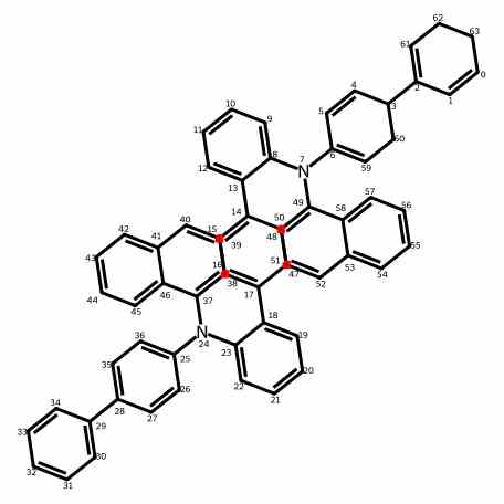 C1=CC(C2C=CC(N(c3ccccc3C3=CC=C(c4ccccc4N(c4ccc(-c5ccccc5)cc4)c4cccc5ccccc45)CC3)c3cccc4ccccc34)=CC2)=CCC1